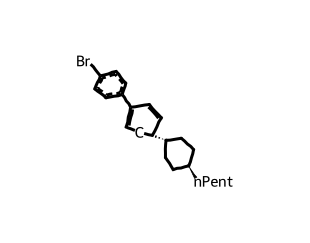 CCCCC[C@H]1CC[C@H](C2C=CC(c3ccc(Br)cc3)=CC2)CC1